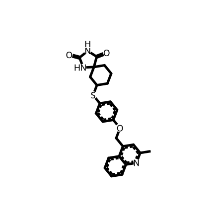 Cc1cc(COc2ccc(SC3CCCC4(C3)NC(=O)NC4=O)cc2)c2ccccc2n1